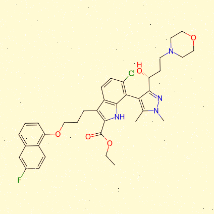 CCOC(=O)c1[nH]c2c(-c3c([C@H](O)CCN4CCOCC4)nn(C)c3C)c(Cl)ccc2c1CCCOc1cccc2cc(F)ccc12